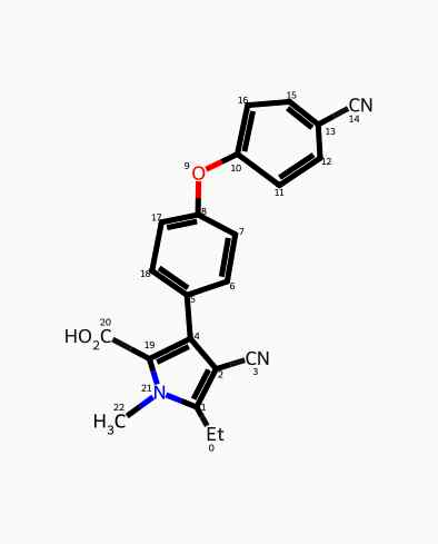 CCc1c(C#N)c(-c2ccc(Oc3ccc(C#N)cc3)cc2)c(C(=O)O)n1C